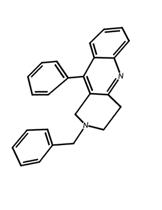 c1ccc(CN2CCc3nc4ccccc4c(-c4ccccc4)c3C2)cc1